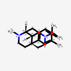 C=C(C)N1CC[C@]23CCN(C)[C@H](Cc4ccc(C)cc42)[C@@H]3C1